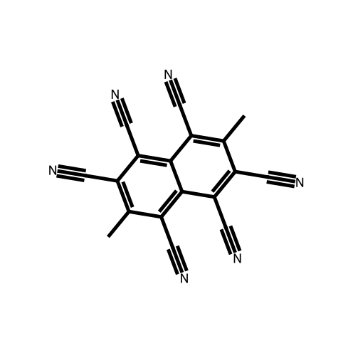 Cc1c(C#N)c(C#N)c2c(C#N)c(C)c(C#N)c(C#N)c2c1C#N